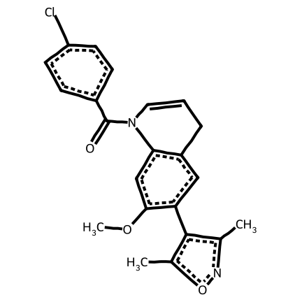 COc1cc2c(cc1-c1c(C)noc1C)CC=CN2C(=O)c1ccc(Cl)cc1